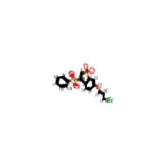 O=S1(=O)CC(S(=O)(=O)c2ccccc2)c2ccc(OCCCBr)cc21